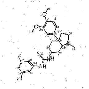 COc1ccc(C23CCC(NC(=S)Nc4cc(C)cc(C)c4)CC2N(C)CC3)cc1OC